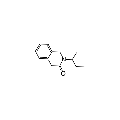 CCC(C)N1Cc2ccccc2CC1=O